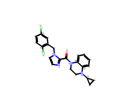 O=C(c1nccn1Cc1cc(Cl)ccc1Cl)N1CCN(C2CC2)c2ccccc21